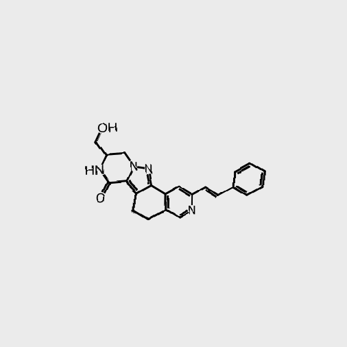 O=C1NC(CO)Cn2nc3c(c21)CCc1cnc(/C=C/c2ccccc2)cc1-3